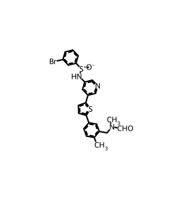 Cc1ccc(-c2ccc(-c3cncc(N[S+]([O-])c4cccc(Br)c4)c3)s2)cc1CN(C)C=O